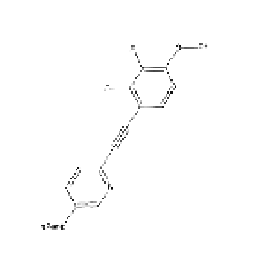 CCCCCc1ccc(C#Cc2ccc(OCC)c(F)c2F)nc1